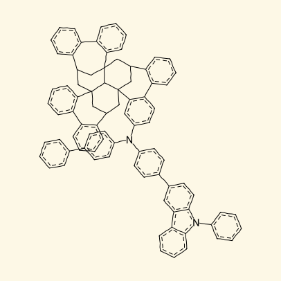 c1ccc(-c2ccc(N(c3ccc(-c4ccc5c(c4)c4ccccc4n5-c4ccccc4)cc3)c3ccc4c(c3)C35CC6CC7(CC8CC(CC(C3)c3ccccc3-4)(c3ccccc3-c3ccccc38)C75)c3ccccc3-c3ccccc36)cc2)cc1